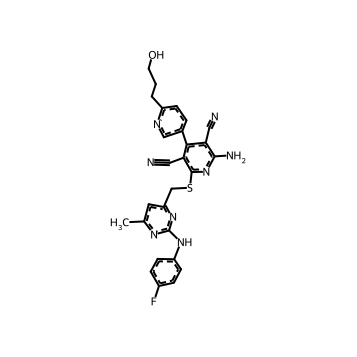 Cc1cc(CSc2nc(N)c(C#N)c(-c3ccc(CCCO)nc3)c2C#N)nc(Nc2ccc(F)cc2)n1